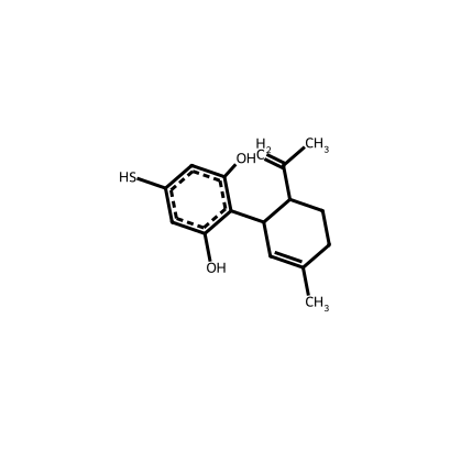 C=C(C)C1CCC(C)=CC1c1c(O)cc(S)cc1O